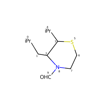 CC(C)CC1C(C(C)C)SCCN1C=O